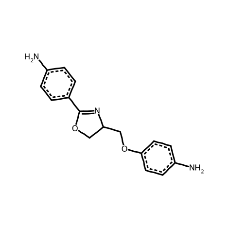 Nc1ccc(OCC2COC(c3ccc(N)cc3)=N2)cc1